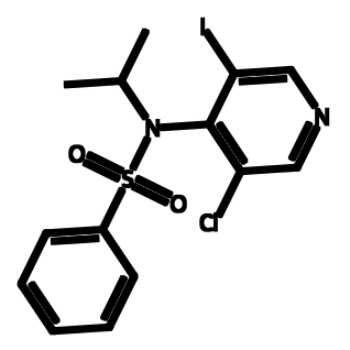 CC(C)N(c1c(Cl)cncc1I)S(=O)(=O)c1ccccc1